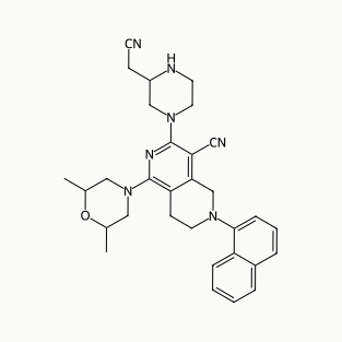 CC1CN(c2nc(N3CCNC(CC#N)C3)c(C#N)c3c2CCN(c2cccc4ccccc24)C3)CC(C)O1